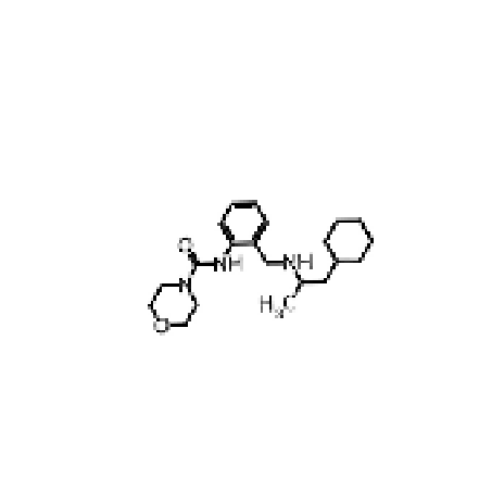 CC(CC1CCCCC1)NCc1ccccc1NC(=O)N1CCOCC1